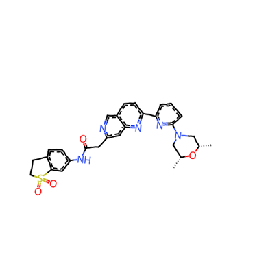 C[C@@H]1CN(c2cccc(-c3ccc4cnc(CC(=O)Nc5ccc6c(c5)S(=O)(=O)CC6)cc4n3)n2)C[C@H](C)O1